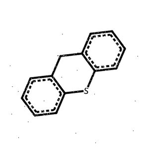 [CH]1c2ccccc2Sc2ccccc21